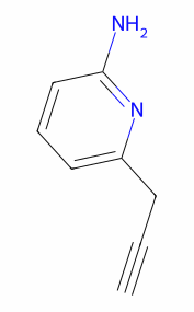 C#CCc1cccc(N)n1